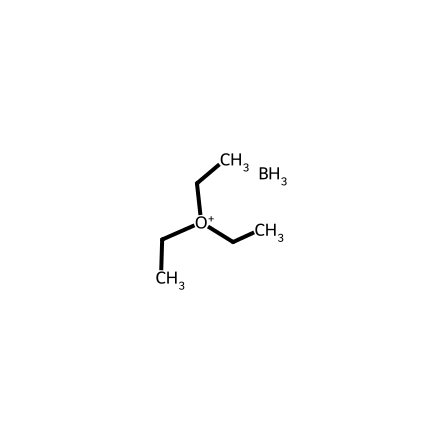 B.CC[O+](CC)CC